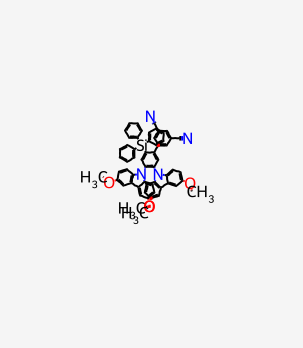 COc1ccc2c(c1)c1cc(OC)ccc1n2-c1cc(-c2cc(C#N)cc(C#N)c2)c([Si](c2ccccc2)(c2ccccc2)c2ccccc2)cc1-n1c2ccc(OC)cc2c2cc(OC)ccc21